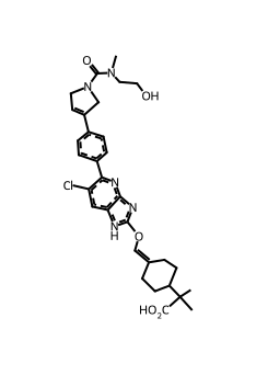 CN(CCO)C(=O)N1CC=C(c2ccc(-c3nc4nc(OC=C5CCC(C(C)(C)C(=O)O)CC5)[nH]c4cc3Cl)cc2)C1